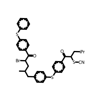 CC(C)CC(SC#N)C(=O)c1ccc(Sc2ccc(CC(C)CC(Br)C(=O)c3ccc(Sc4ccccc4)cc3)cc2)cc1